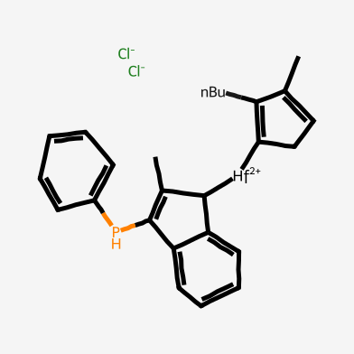 CCCCC1=[C]([Hf+2][CH]2C(C)=C(Pc3ccccc3)c3ccccc32)CC=C1C.[Cl-].[Cl-]